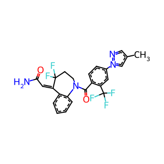 Cc1cnn(-c2ccc(C(=O)N3CCC(F)(F)/C(=C\C(N)=O)c4ccccc43)c(C(F)(F)F)c2)c1